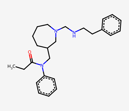 CCC(=O)N(CC1CCCCN(CNCCc2ccccc2)C1)c1ccccc1